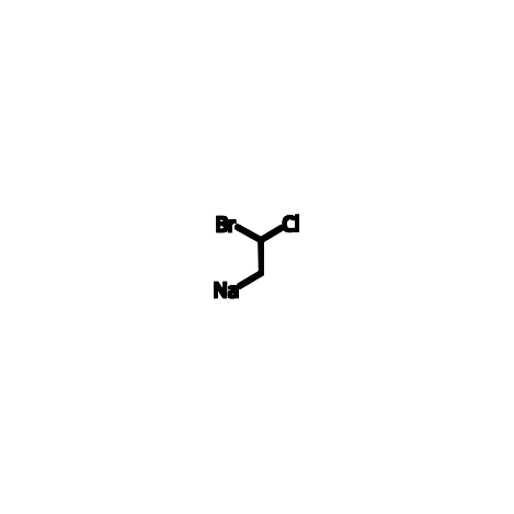 [Na][CH2]C(Cl)Br